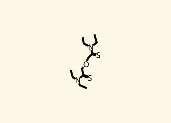 CCN(CC)C(=S)COCC(=S)N(CC)CC